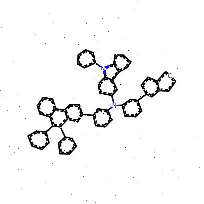 c1ccc(-c2c(-c3ccccc3)c3cc(-c4cccc(N(c5cccc(-c6ccc7ccccc7c6)c5)c5ccc6c(c5)c5ccccc5n6-c5ccccc5)c4)ccc3c3ccccc23)cc1